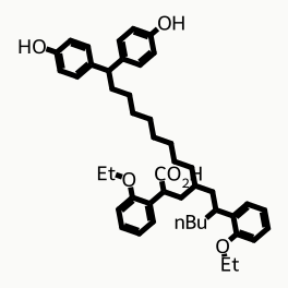 CCCCC(CC(CCCCCCCCC(c1ccc(O)cc1)c1ccc(O)cc1)CC(C(=O)O)c1ccccc1OCC)c1ccccc1OCC